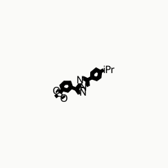 CC(C)c1ccc(-c2cnc3c(-c4cccc(S(C)(=O)=O)c4)cnn3c2)cc1